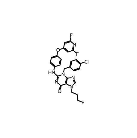 O=c1nc(Nc2ccc(Oc3cc(F)nc(F)c3)cc2)n(Cc2ccc(Cl)cc2)c2ncn(CCCF)c12